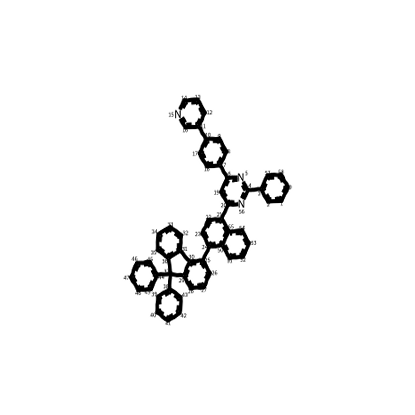 c1ccc(-c2nc(-c3ccc(-c4cccnc4)cc3)cc(-c3ccc(-c4cccc5c4-c4ccccc4C5(c4ccccc4)c4ccccc4)c4ccccc34)n2)cc1